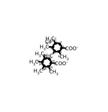 Cc1cc(C(=O)[O-])c(C)c(C)c1C.Cc1cc(C(=O)[O-])c(C)c(C)c1C.[Cd+2]